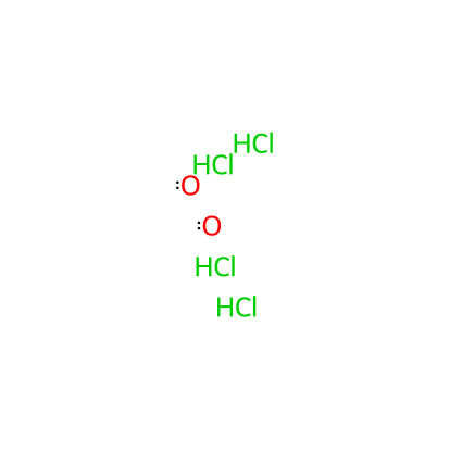 Cl.Cl.Cl.Cl.[O].[O]